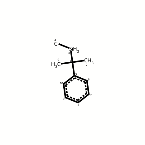 CC(C)([SiH2]Cl)c1ccccc1